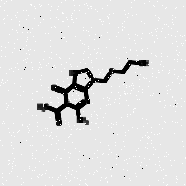 CC(=O)n1c(N)nc2c(c1=O)NCN2COCCO